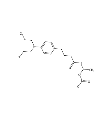 CC(OC(=O)CCCc1ccc(N(CCCl)CCCl)cc1)O[N+](=O)[O-]